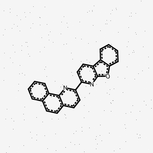 c1ccc2c(c1)ccc1ccc(-c3ccc4c(n3)oc3ccccc34)nc12